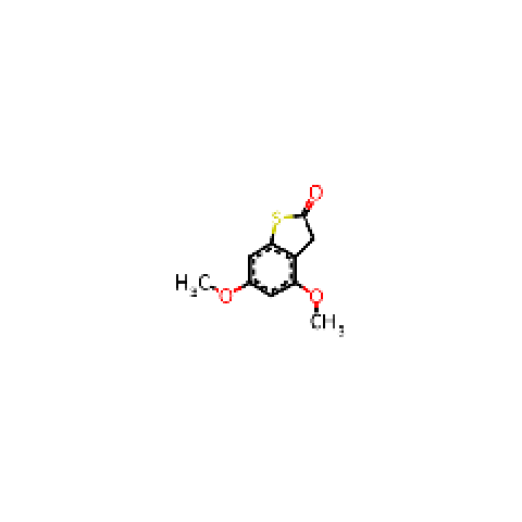 COc1cc(OC)c2c(c1)SC(=O)C2